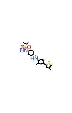 Cc1csc(-c2ccc(NC[C@H]3CC[C@H](NS(=O)(=O)C(C)C)CC3)c(C)c2)c1